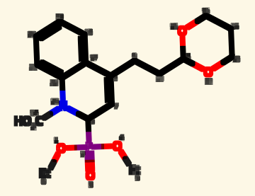 CCOP(=O)(OCC)C1C=C(CCC2OCCCO2)c2ccccc2N1C(=O)O